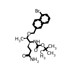 C[C@@H](OCc1ccc2c(Br)cccc2c1)[C@H](CCC(N)=O)NC(=O)OC(C)(C)C